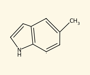 Cc1c[c]c2[nH]ccc2c1